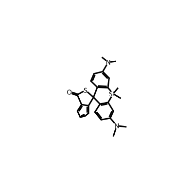 CN(C)c1ccc2c(c1)[Si](C)(C)c1cc(N(C)C)ccc1C21SC(=O)c2ccccc21